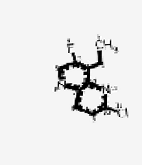 CCc1c(F)cnc2ccc(Cl)nc12